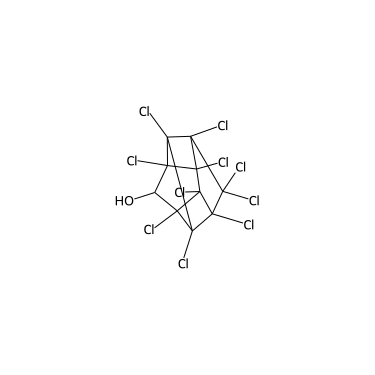 OC1C2(Cl)C3(Cl)C4(Cl)C(Cl)(Cl)C5(Cl)C3(Cl)C1(Cl)C5(Cl)C24Cl